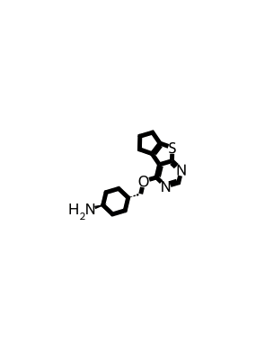 N[C@H]1CC[C@H](COc2ncnc3sc4c(c23)CCC4)CC1